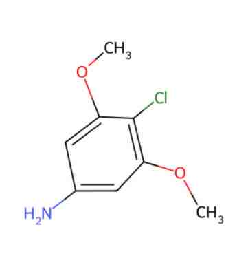 COc1cc(N)cc(OC)c1Cl